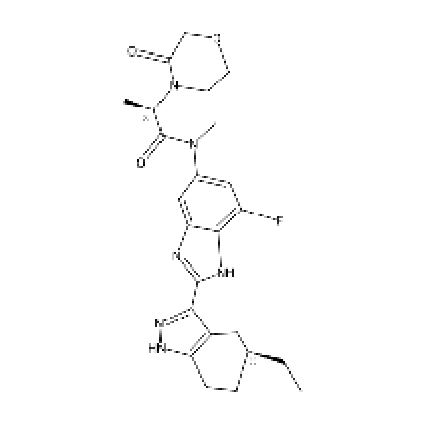 CC[C@H]1CCc2[nH]nc(-c3nc4cc(N(C)C(=O)[C@@H](C)N5CCOCC5=O)cc(F)c4[nH]3)c2C1